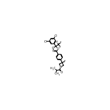 CC(C)C(=O)N1CC(F)(c2ccc(C3=NOC(c4cc(Cl)cc(Cl)c4)(C(F)(F)F)O3)cc2)C1